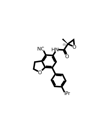 CC(C)c1ccc(-c2cc(NC(=O)[C@]3(C)CO3)c(C#N)c3c2OCC3)cc1